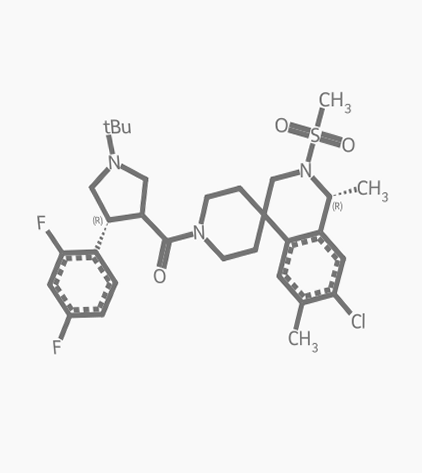 Cc1cc2c(cc1Cl)[C@@H](C)N(S(C)(=O)=O)CC21CCN(C(=O)C2CN(C(C)(C)C)C[C@H]2c2ccc(F)cc2F)CC1